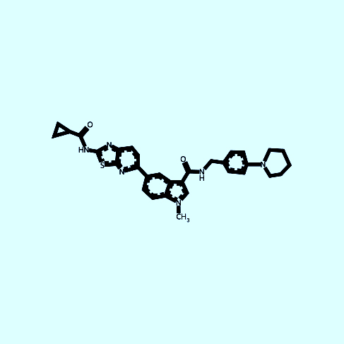 Cn1cc(C(=O)NCc2ccc(N3CCCCC3)cc2)c2cc(-c3ccc4nc(NC(=O)C5CC5)sc4n3)ccc21